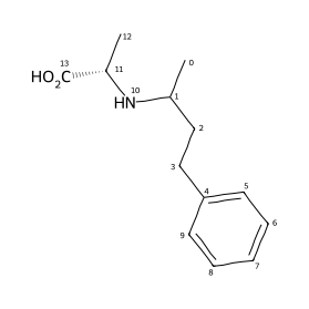 CC(CCc1ccccc1)N[C@@H](C)C(=O)O